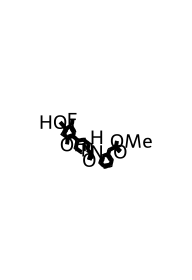 COC(=O)Cc1ccccc1NC(=O)N1CCC(c2cc(F)c(O)cc2O)CC1